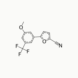 COc1cc(-c2ccc(C#N)o2)cc(C(F)(F)F)c1